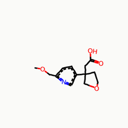 COCc1ccc(C2(CC(=O)O)CCOC2)cn1